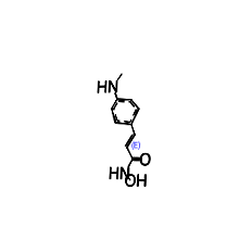 CNc1ccc(/C=C/C(=O)NO)cc1